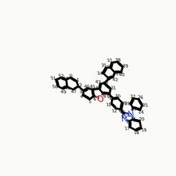 C1=CC(c2ccc3oc4c(-c5ccc(-c6nc7ccccc7n6-c6ccccc6)cc5)cc(-c5ccc6ccccc6c5)cc4c3c2)Cc2ccccc21